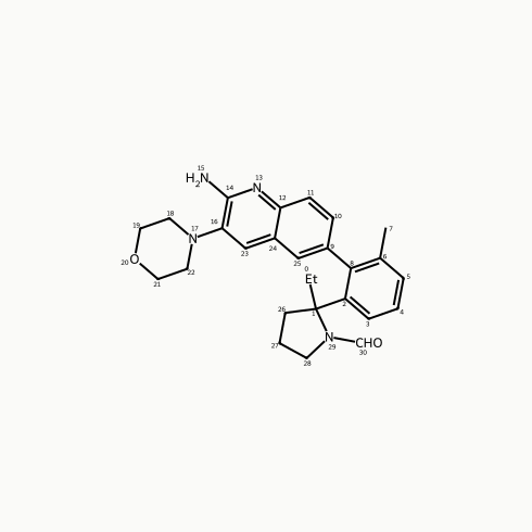 CCC1(c2cccc(C)c2-c2ccc3nc(N)c(N4CCOCC4)cc3c2)CCCN1C=O